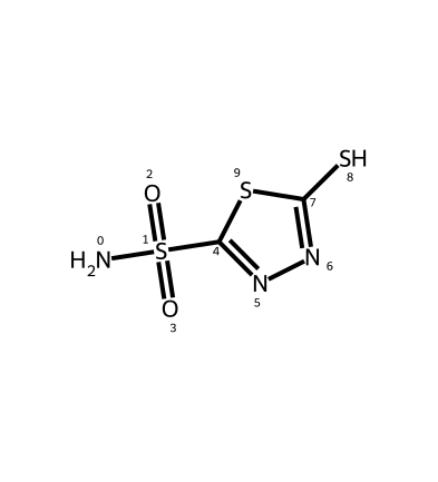 NS(=O)(=O)c1nnc(S)s1